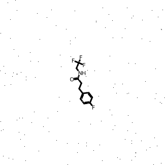 O=C(CCc1ccc(F)cc1)NCC(F)(F)F